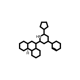 C1=CC(C2CC(C3CCCC3)NC(C3CC4CCCC[C@@H]4C4CCCCC34)C2)CCC1